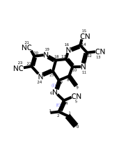 C#C/C(C)=C(C#N)/N=C1\C(=C)c2nc(C#N)c(C#N)nc2-c2nc(C#N)c(C#N)nc21